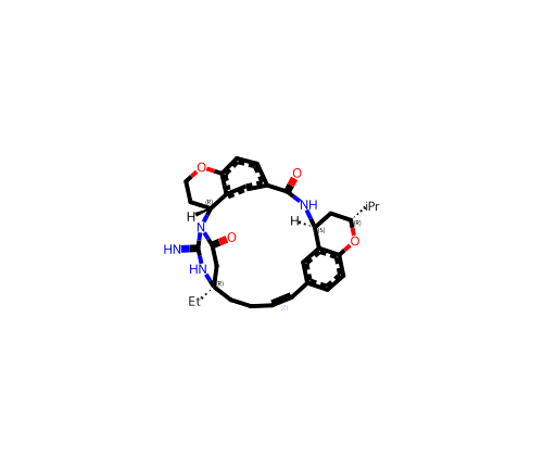 CC[C@]12CC/C=C\c3ccc4c(c3)[C@H](C[C@H](C(C)C)O4)NC(=O)c3ccc4c(c3)[C@@H](CCO4)N(C(=N)N1)C(=O)C2